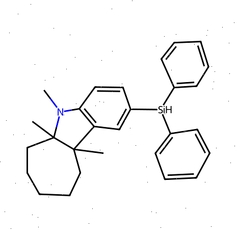 CN1c2ccc([SiH](c3ccccc3)c3ccccc3)cc2C2(C)CCCCCC12C